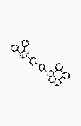 c1ccc(-c2ncc(-c3ccc(-c4ccc(-c5cc6ccc7cccc8c9ccccc9c9ccccc9c(c5)c6c78)cc4)cc3)nc2-c2ccccc2)cc1